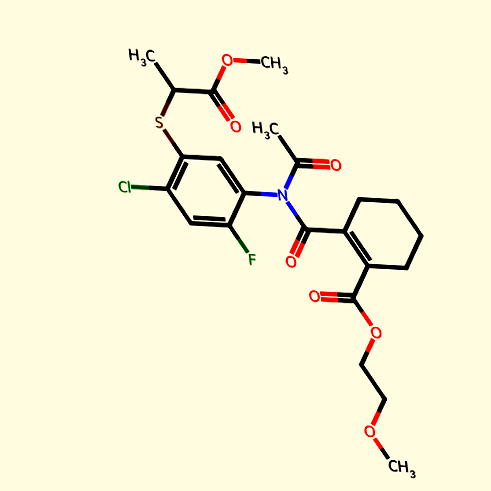 COCCOC(=O)C1=C(C(=O)N(C(C)=O)c2cc(SC(C)C(=O)OC)c(Cl)cc2F)CCCC1